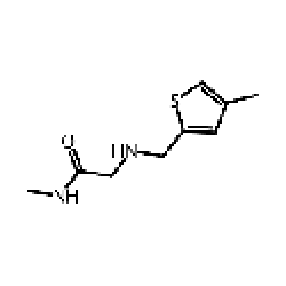 CNC(=O)CNCc1cc(C)cs1